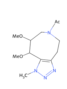 COC1CN(C(C)=O)CCc2nnn(C)c2C1OC